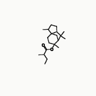 CCC(C)C(=O)OC1(C)CCC23CC1C(C)(C)C2CCC3C